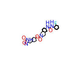 O=C(Nc1ccc2c(c1)CCN(C(=O)OC1CCC(Cc3noc(=O)[nH]3)CC1)C2)Nc1ccccc1F